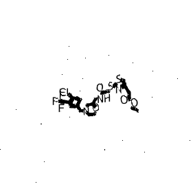 CCOC(=O)Cc1csc(SCC(=O)NCC2CN(Cc3ccc(Cl)c(C(F)(F)F)c3)CCO2)n1